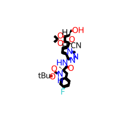 CC(C)(C)OC(=O)N[C@](C)(Cc1ccc(F)cc1)C(=O)Nc1nncn2c([C@]3(C#N)O[C@H](CO)[C@H]4OC(C)(C)O[C@H]43)ccc12